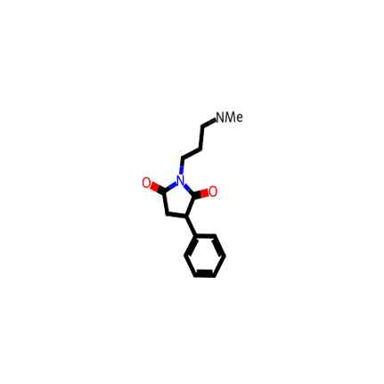 CNCCCN1C(=O)CC(c2ccccc2)C1=O